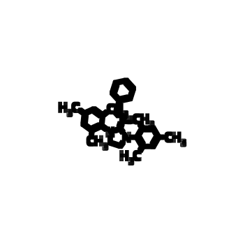 Cc1cc(C)c(N2CCN(c3c(C)cc(C)cc3C)[C]2=[Ru]=[CH]c2ccccc2)c(C)c1